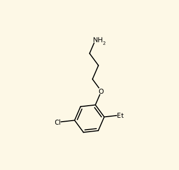 CCc1ccc(Cl)cc1OCCCN